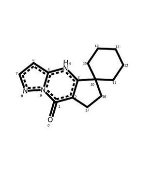 O=c1c2c([nH]c3ccnn13)C1(CCCCC1)CC2